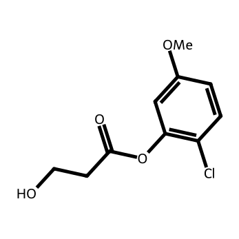 COc1ccc(Cl)c(OC(=O)CCO)c1